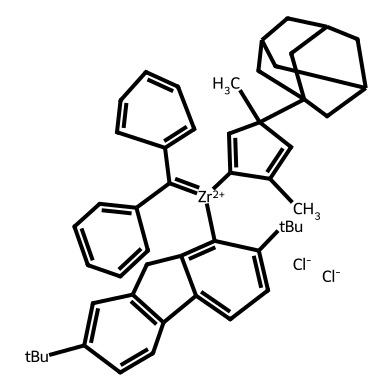 CC1=CC(C)(C23CC4CC(CC(C4)C2)C3)C=[C]1[Zr+2](=[C](c1ccccc1)c1ccccc1)[c]1c(C(C)(C)C)ccc2c1Cc1cc(C(C)(C)C)ccc1-2.[Cl-].[Cl-]